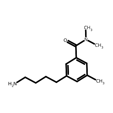 Cc1cc(CCCCN)cc(C(=O)N(C)C)c1